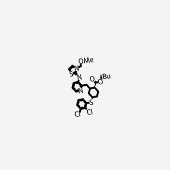 COCn1ccs/c1=N\c1cccnc1CC1C[C@@H](Sc2cccc(Cl)c2Cl)CC[C@@H]1C(=O)OC(C)(C)C